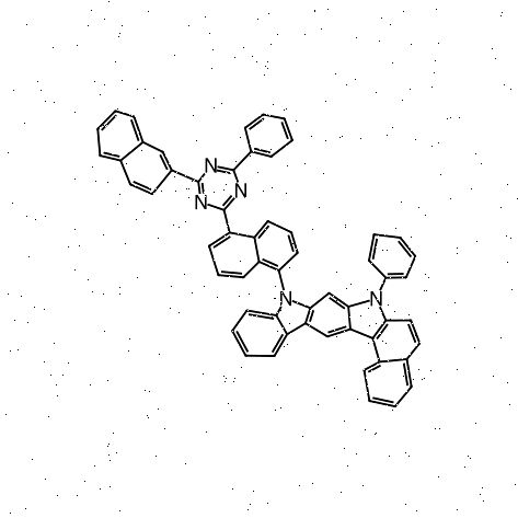 c1ccc(-c2nc(-c3ccc4ccccc4c3)nc(-c3cccc4c(-n5c6ccccc6c6cc7c8c9ccccc9ccc8n(-c8ccccc8)c7cc65)cccc34)n2)cc1